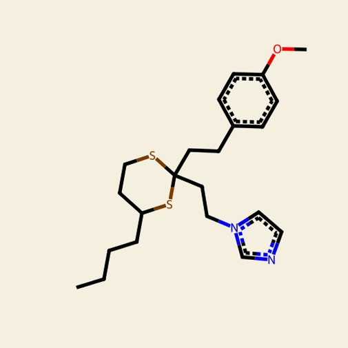 CCCCC1CCSC(CCc2ccc(OC)cc2)(CCn2ccnc2)S1